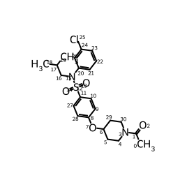 CC(=O)N1CCC(Oc2ccc(S(=O)(=O)N(CC(C)C)c3cccc(Cl)c3)cc2)CC1